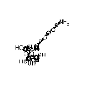 NCCOCCOCCOCCOCCOCCn1cc(COC2c3c(O)cc(O)cc3OC(c3cc(O)c(O)c(O)c3)C2OC(=O)c2cc(O)cc(F)c2)nn1